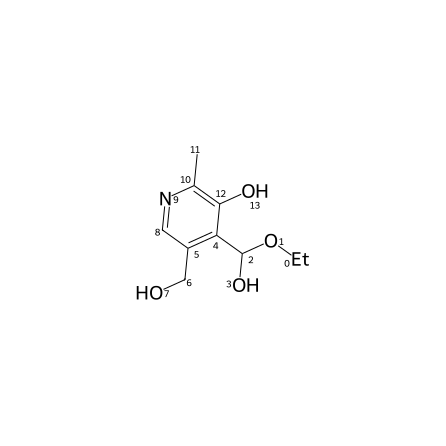 CCOC(O)c1c(CO)cnc(C)c1O